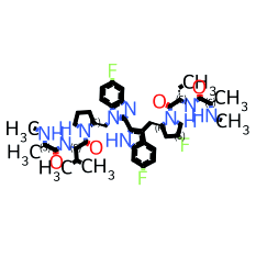 CC[C@H](NC(=O)[C@H](C)NC)C(=O)N1C[C@@H](F)C[C@H]1Cc1c(-c2nc3cc(F)ccc3n2C[C@@H]2CCCN2C(=O)[C@@H](NC(=O)[C@H](C)NC)C(C)C)[nH]c2cc(F)ccc12